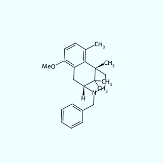 COc1ccc(C)c2c1C[C@H]1N(Cc3ccccc3)CC[C@]2(C)C1(C)C